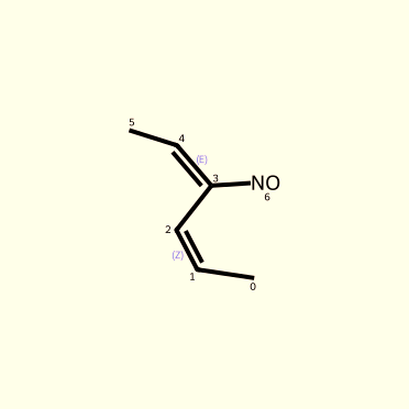 C/C=C\C(=C/C)N=O